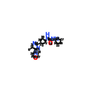 Cc1cnc(-c2ccc(NC(=O)Nc3ccccc3)cc2)nc1N1CCOCC1